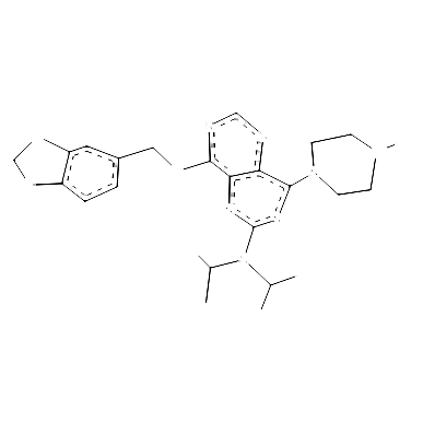 CC(O)N(c1nc(N2CC[S+]([O-])CC2)c2ncnc(OCc3ccc4c(c3)OCO4)c2n1)C(C)O